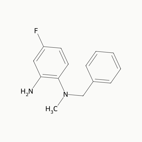 CN(Cc1ccccc1)c1ccc(F)cc1N